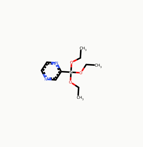 CCO[Si](OCC)(OCC)c1cnccn1